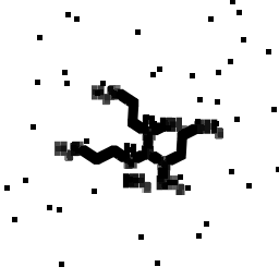 N[SiH](CC[SiH3])N([SiH](N)CC[SiH3])[SiH](N)CC[SiH3]